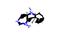 c1ccc2c3[nH]cncc-3nc2c1